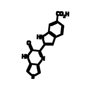 O=C(O)c1ccc2cc(-c3nc4cscc4[nH]c3=O)[nH]c2c1